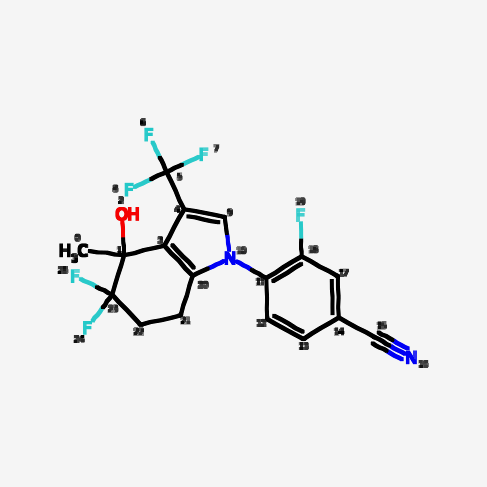 CC1(O)c2c(C(F)(F)F)cn(-c3ccc(C#N)cc3F)c2CCC1(F)F